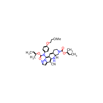 C/C=C(\C)OC(=O)N1CCC2=Cc3c(c(C#N)c4ccnn4c3N(C(=O)O/C(C)=C/C)c3ccc(OCCOC)cc3)N[C@H]2C1